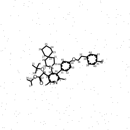 Cc1nc(C)c([C@H](OC(C)(C)C)C(=O)OC(C)C)c(N2CCC3(CCCCC3)CC2)c1-c1ccc(OCCc2ccc(F)cc2)cc1